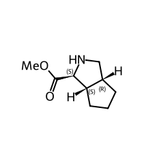 COC(=O)[C@H]1NC[C@@H]2CCC[C@@H]21